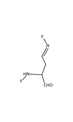 O=CC(C/C=N/F)NF